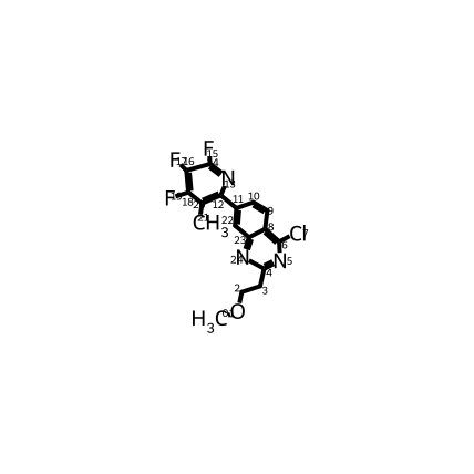 COCCc1nc(Cl)c2ccc(-c3nc(F)c(F)c(F)c3C)cc2n1